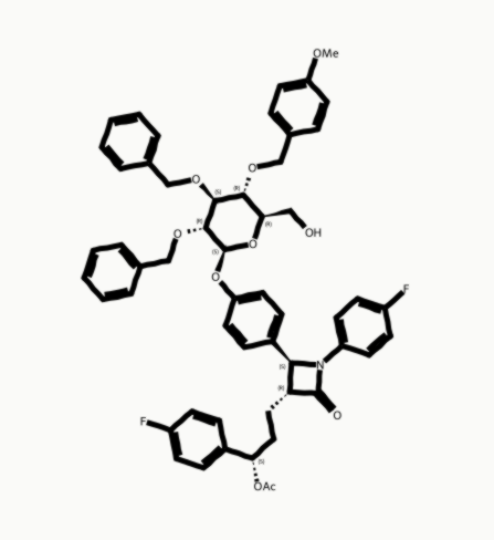 COc1ccc(CO[C@H]2[C@H](OCc3ccccc3)[C@@H](OCc3ccccc3)[C@H](Oc3ccc([C@@H]4[C@@H](CC[C@H](OC(C)=O)c5ccc(F)cc5)C(=O)N4c4ccc(F)cc4)cc3)O[C@@H]2CO)cc1